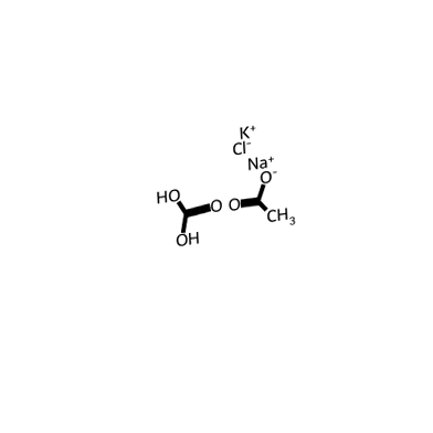 CC(=O)[O-].O=C(O)O.[Cl-].[K+].[Na+]